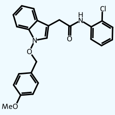 COc1ccc(COn2cc(CC(=O)Nc3ccccc3Cl)c3ccccc32)cc1